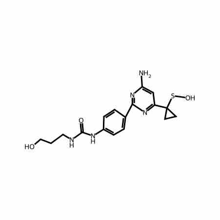 Nc1cc(C2(SO)CC2)nc(-c2ccc(NC(=O)NCCCO)cc2)n1